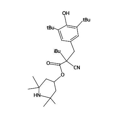 CCC(C)C(C#N)(Cc1cc(C(C)(C)C)c(O)c(C(C)(C)C)c1)C(=O)OC1CC(C)(C)NC(C)(C)C1